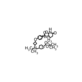 CC(C)N(CC1CCN(C(=O)OC(C)(C)C)CC1)C1CC(Oc2ccc(C(=O)N[C@H]3CCC(=O)NC3=O)cc2)C1